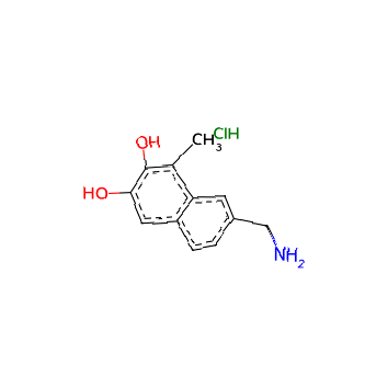 Cc1c(O)c(O)cc2ccc(CN)cc12.Cl